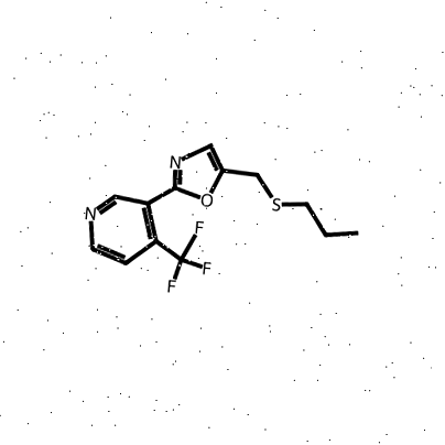 CCCSCc1cnc(-c2cnccc2C(F)(F)F)o1